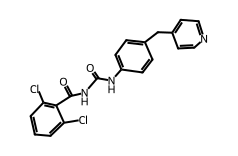 O=C(NC(=O)c1c(Cl)cccc1Cl)Nc1ccc(Cc2ccncc2)cc1